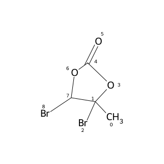 CC1(Br)OC(=O)OC1Br